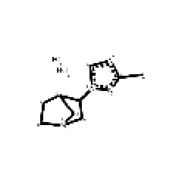 Cc1ncn(C2CN3CCC2C3)n1.Cl.Cl